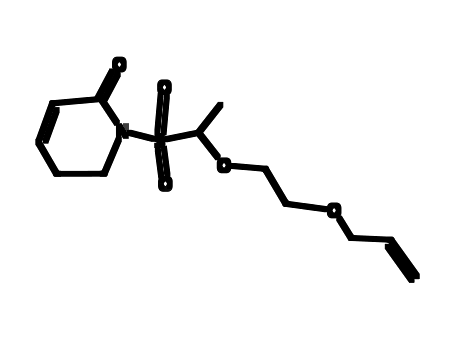 C=CCOCCOC(C)S(=O)(=O)N1CCC=CC1=O